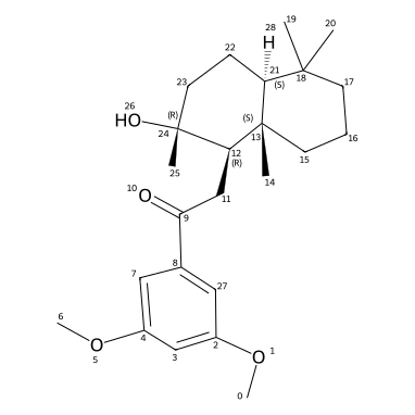 COc1cc(OC)cc(C(=O)C[C@@H]2[C@@]3(C)CCCC(C)(C)[C@@H]3CC[C@@]2(C)O)c1